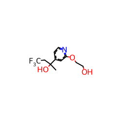 CC(O)(CC(F)(F)F)c1ccnc(OCCO)c1